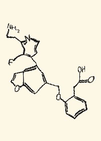 NCc1nccc(-c2cc(COc3ccccc3CC(=O)O)cc3occc23)c1F